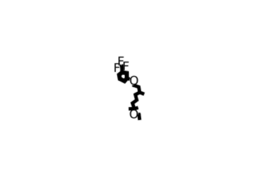 CCOC(C)(C)CCCC(C)CCOc1cccc(C(F)(F)F)c1